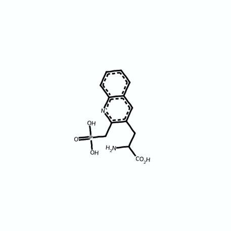 NC(Cc1cc2ccccc2nc1CP(=O)(O)O)C(=O)O